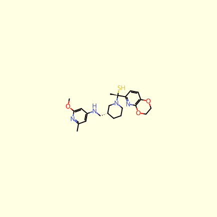 COc1cc(NC[C@H]2CCCN([C@](C)(S)c3ccc4c(n3)OCCO4)C2)cc(C)n1